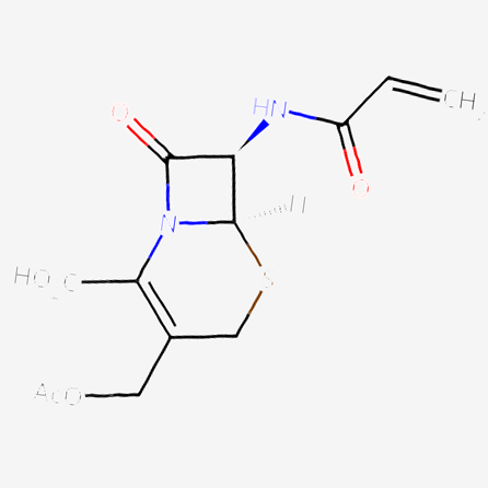 C=CC(=O)N[C@@H]1C(=O)N2C(C(=O)O)=C(COC(C)=O)CS[C@H]12